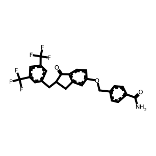 NC(=O)c1ccc(COc2ccc3c(c2)CC(Cc2cc(C(F)(F)F)cc(C(F)(F)F)c2)C3=O)cc1